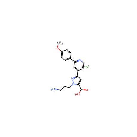 COc1ccc(-c2cc(-c3cc(C(=O)O)n(CCCN)n3)ccn2)cc1.Cl